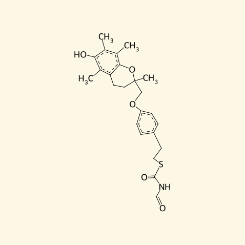 Cc1c(C)c2c(c(C)c1O)CCC(C)(COc1ccc(CCSC(=O)NC=O)cc1)O2